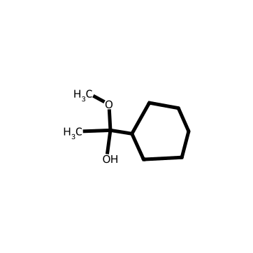 COC(C)(O)C1CCCCC1